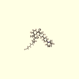 CCCCCCN1CC(C(=O)Nc2cc(C(=O)N3CCC(c4ccc(/C(C=N)=C/NC)cc4)CC3)ccc2C)C1